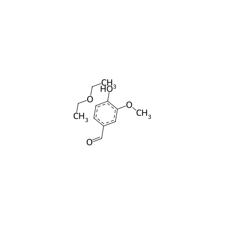 CCOCC.COc1cc(C=O)ccc1O